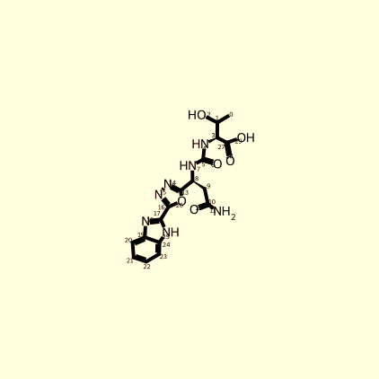 CC(O)[C@H](NC(=O)N[C@@H](CC(N)=O)c1nnc(-c2nc3ccccc3[nH]2)o1)C(=O)O